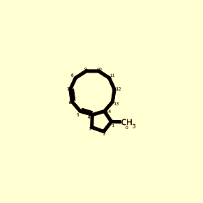 CC1CCC2=CC=CCCCCCCC21